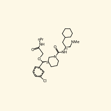 CCCNC(=O)COC(c1cccc(Cl)c1)[C@@H]1CCCN(C(=O)N[C@H](CNC)CC2CCCCC2)C1